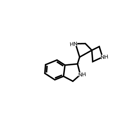 c1ccc2c(c1)CN[C]2C1NCC12CNC2